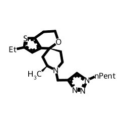 CCCCCn1cc(CN2CC[C@]3(C[C@@H]2C)OCCc2sc(CC)cc23)nn1